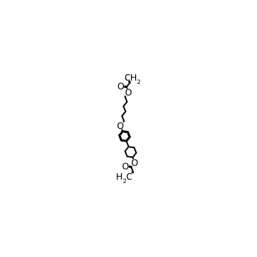 C=CC(=O)OCCCCCCOc1ccc(C2CCC(OC(=O)C=C)CC2)cc1